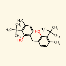 Cc1ccc(Cc2ccc(C)c(C(C)(C)C)c2O)c(O)c1C(C)(C)C